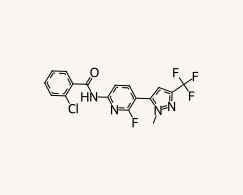 Cn1nc(C(F)(F)F)cc1-c1ccc(NC(=O)c2ccccc2Cl)nc1F